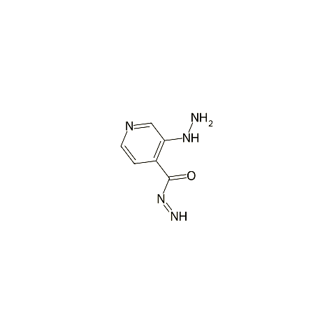 N=NC(=O)c1ccncc1NN